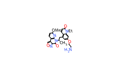 CCn1c(=O)ccc2c(CC(C)n3c(=O)c4nocc4c4ccc(OC)nc43)cc(OCCN)cc21